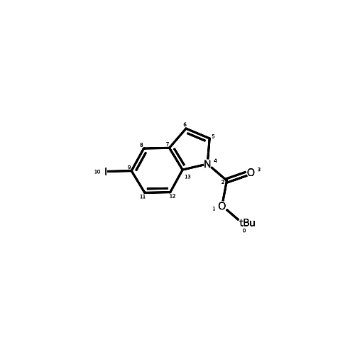 CC(C)(C)OC(=O)n1ccc2cc(I)ccc21